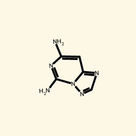 Nc1cc2ncnn2c(N)n1